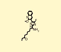 CCC(=O)CCCCC[C@H](N)c1nc(F)c(-c2cc3ccccc3nc2OC)[nH]1